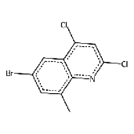 Cc1cc(Br)cc2c(Cl)cc(Cl)nc12